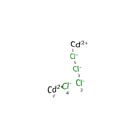 [Cd+2].[Cd+2].[Cl-].[Cl-].[Cl-].[Cl-]